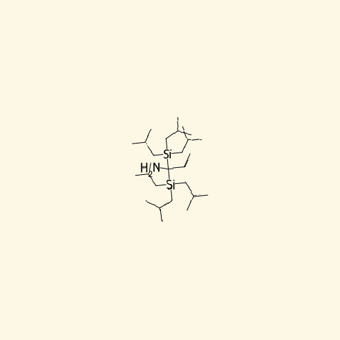 CCC(N)([Si](CC(C)C)(CC(C)C)CC(C)C)[Si](CC(C)C)(CC(C)C)CC(C)C